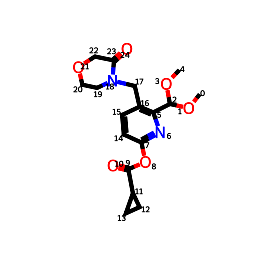 COC(OC)c1nc(OC(=O)C2CC2)ccc1CN1CCOCC1=O